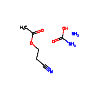 CC(=O)OCCC#N.N.NC(=O)O